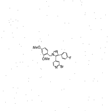 COc1ccc(Cn2cnc(-c3ccc(F)cc3)c2-c2ccnc(Br)c2)c(OC)c1